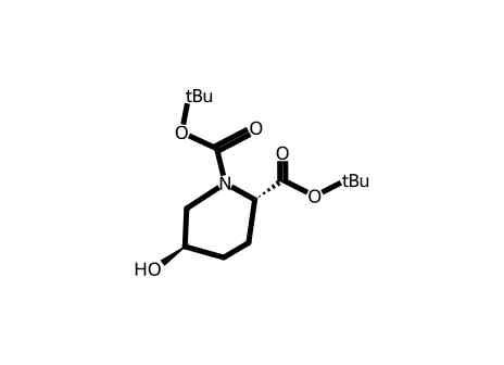 CC(C)(C)OC(=O)[C@@H]1CC[C@@H](O)CN1C(=O)OC(C)(C)C